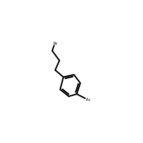 CC(=O)c1ccc(CCCBr)cc1